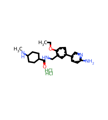 CCOc1ccc(-c2ccc(N)nc2)cc1CNC(=O)C1CCC(NC)CC1.Cl.Cl